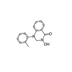 Cc1ccccc1N1CN(O)C(=O)c2ccccc21